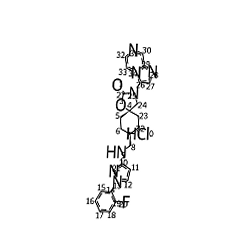 Cl.O=C1O[C@]2(CC[C@H](CNc3ccn(-c4ccccc4F)n3)CC2)CN1c1cnc2cnccn12